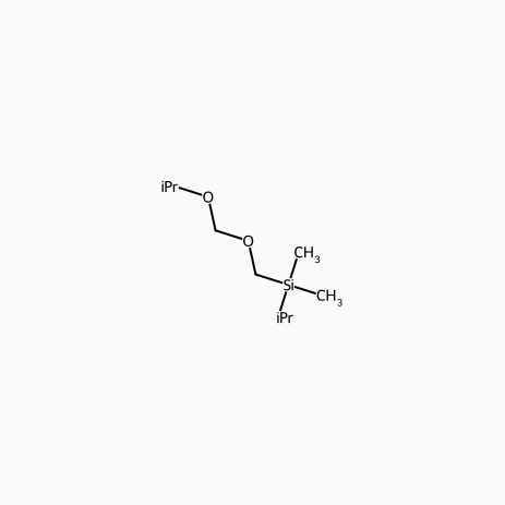 CC(C)OCOC[Si](C)(C)C(C)C